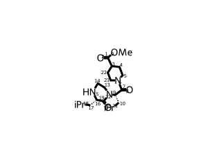 COC(=O)C1CCN(C(=O)[C@H](CC(C)C)N2CCN[C@@H](CC(C)C)C2=O)CC1